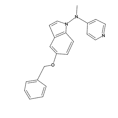 CN(c1ccncc1)n1ccc2cc(OCc3ccccc3)ccc21